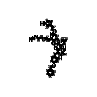 CC(=O)N[C@@H](Cc1ccc(OCc2ccccc2)cc1)C(=O)N[C@H](CC(C)C)C(=O)N[C@@H](CC(=O)OCCc1c[nH]cn1)C(=O)NCCOCCN=[N+]=[N-]